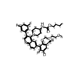 CCCCOC(=O)NC1CCN(c2c(-c3cc(F)cc(F)c3)cnc3ccc(-c4c(F)c(Cl)cc(C#N)c4OCOCCOC)cc23)CC1